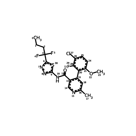 CCCC(F)(F)c1nnc(NC(=O)c2cnc(C)cc2-c2c(OC)ccc(Cl)c2F)s1